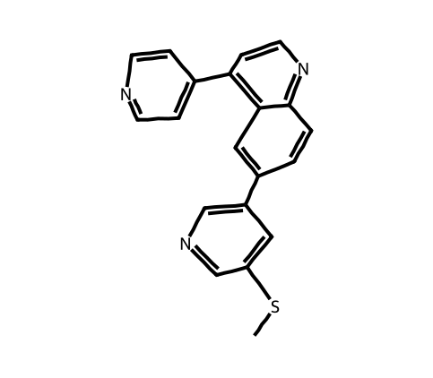 CSc1cncc(-c2ccc3nccc(-c4ccncc4)c3c2)c1